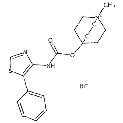 C[N+]12CCC(OC(=O)Nc3ncsc3-c3ccccc3)(CC1)CC2.[Br-]